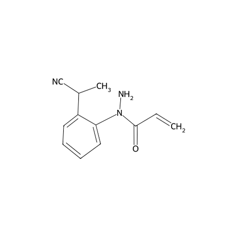 C=CC(=O)N(N)c1ccccc1C(C)C#N